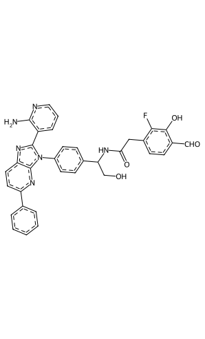 Nc1ncccc1-c1nc2ccc(-c3ccccc3)nc2n1-c1ccc(C(CO)NC(=O)Cc2ccc(C=O)c(O)c2F)cc1